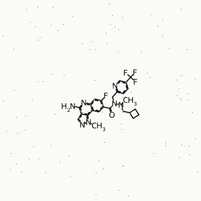 CN(CC1CCC1)N(Cc1ccc(C(F)(F)F)cn1)C(=O)c1cc2c(cc1F)nc(N)c1cnn(C)c12